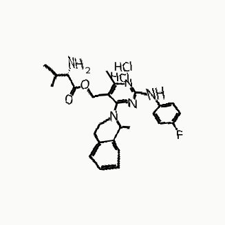 Cc1nc(Nc2ccc(F)cc2)nc(N2CCc3ccccc3C2C)c1COC(=O)[C@@H](N)C(C)C.Cl.Cl